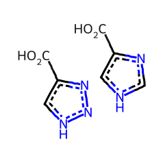 O=C(O)c1c[nH]cn1.O=C(O)c1c[nH]nn1